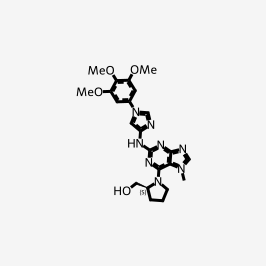 COc1cc(-n2cnc(Nc3nc(N4CCC[C@H]4CO)c4c(ncn4C)n3)c2)cc(OC)c1OC